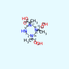 C[C@H](COO)N1CCNCCN([C@@H](C)C(=O)O)CCN([C@@H](C)COO)CC1